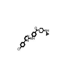 O=C(c1ccc(Nc2nccc(-c3ccc(Cl)cc3)n2)cc1)N1CCC(NC2CC2)CC1